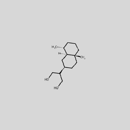 C[C@@H]1CCC[C@]2(C)CC[C@@H](C(CO)CO)C[C@@H]12